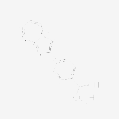 CC(C(=O)O)c1ccc(-c2cn3cccnc3n2)cc1